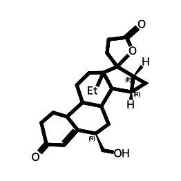 CCC12CCC3C4CCC(=O)C=C4[C@H](CO)CC3C1[C@H]1C[C@H]1C21CCC(=O)O1